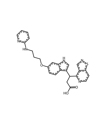 O=C(O)CC(c1c[nH]c2cc(OCCCNc3ccccn3)ccc12)c1nccc2sncc12